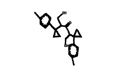 Cc1ccc(C2(C(CO)C(=O)C(CO)C3(c4ccc(C)cc4)CC3)CC2)cc1